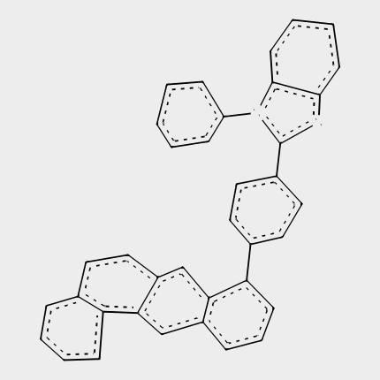 c1ccc(-n2c(-c3ccc(-c4cccc5cc6c(ccc7ccccc76)cc45)cc3)nc3ccccc32)cc1